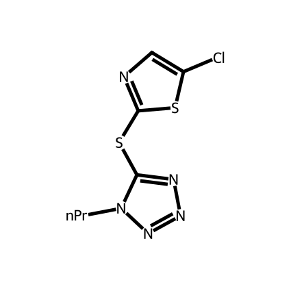 CCCn1nnnc1Sc1ncc(Cl)s1